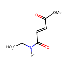 COC(=O)/C=C/C(=O)N(CC(=O)O)C(C)C